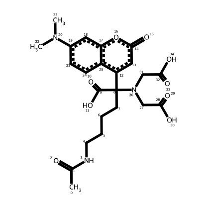 CC(=O)NCCCCC(C(=O)O)(c1cc(=O)oc2cc(N(C)C)ccc12)N(CC(=O)O)CC(=O)O